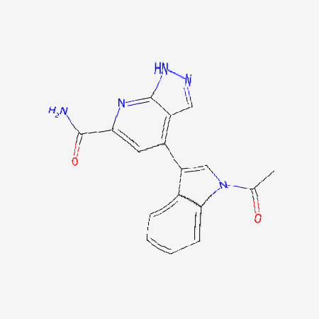 CC(=O)n1cc(-c2cc(C(N)=O)nc3[nH]ncc23)c2ccccc21